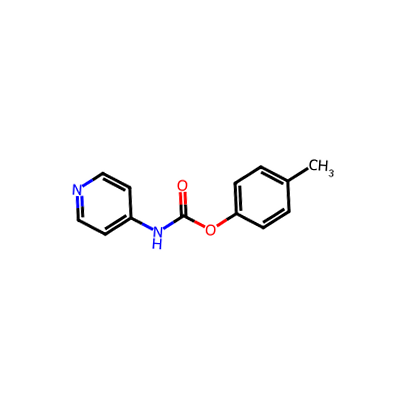 Cc1ccc(OC(=O)Nc2ccncc2)cc1